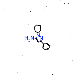 Nc1cc(-c2ccccc2)nn1C1CCCCC1